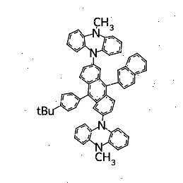 CN1c2ccccc2N(c2ccc3c(-c4ccc5ccccc5c4)c4cc(N5c6ccccc6N(C)c6ccccc65)ccc4c(-c4ccc(C(C)(C)C)cc4)c3c2)c2ccccc21